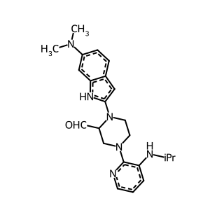 CC(C)Nc1cccnc1N1CCN(c2cc3ccc(N(C)C)cc3[nH]2)C(C=O)C1